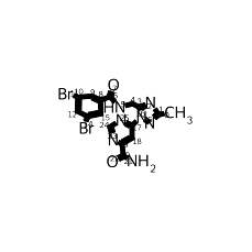 Cc1nc(CNC(=O)c2cc(Br)cc(Br)c2)n(-c2cc(C(N)=O)ncn2)n1